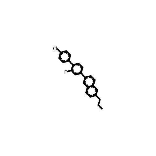 CCCc1ccc2cc(-c3ccc(-c4ccc(Cl)cc4)c(F)c3)ccc2c1